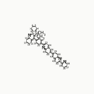 CC1(C)c2ccccc2-c2nc3ccccc3c(-c3ccc(-c4ccc5cc(-c6ccc7nc(-c8ccccn8)ccc7c6)ccc5n4)cc3)c21